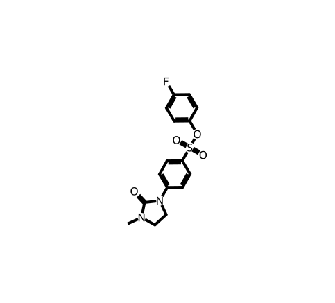 CN1CCN(c2ccc(S(=O)(=O)Oc3ccc(F)cc3)cc2)C1=O